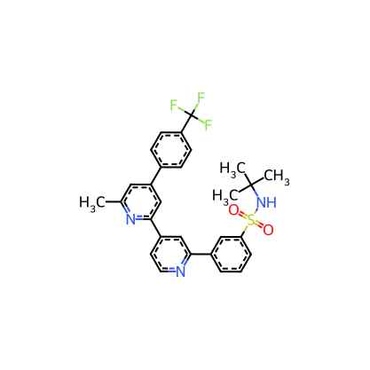 Cc1cc(-c2ccc(C(F)(F)F)cc2)cc(-c2ccnc(-c3cccc(S(=O)(=O)NC(C)(C)C)c3)c2)n1